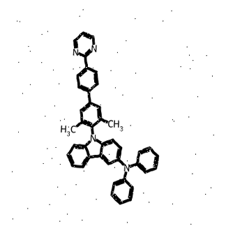 Cc1cc(-c2ccc(-c3ncccn3)cc2)cc(C)c1-n1c2ccccc2c2cc(N(c3ccccc3)c3ccccc3)ccc21